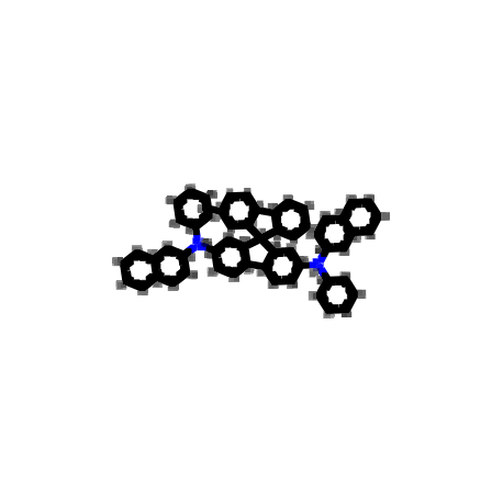 Cc1ccc2c(c1)C1(c3ccccc3-2)c2cc(N(c3ccccc3)c3ccc4ccccc4c3)ccc2-c2ccc(N(c3ccccc3)c3ccc4ccccc4c3)cc21